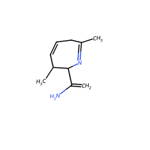 C=C(N)C1N=C(C)CC=CC1C